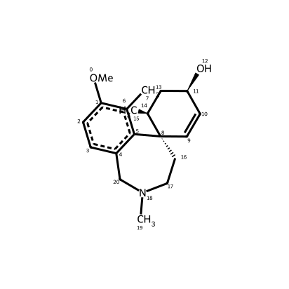 COc1ccc2c(c1C)[C@@]1(C=C[C@H](O)C[C@@H]1C)CCN(C)C2